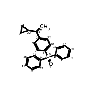 CC(c1ccc(P(=O)(c2ccccc2)c2ccccc2)cc1)C1CC1